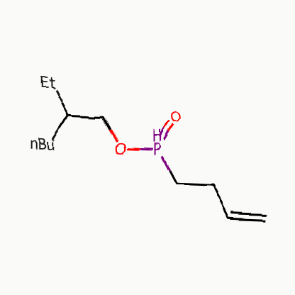 C=CCC[PH](=O)OCC(CC)CCCC